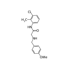 COc1ccc(CNCC(=O)Nc2cccc(Cl)c2C)cc1